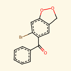 O=C(c1ccccc1)c1cc2c(cc1Br)OOC2